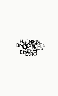 CC[Si](CC)(CC)c1cc(Br)nc(C(C)(N)CS(=O)(=NCC(F)(F)CO)C(C)(C)C#N)c1F